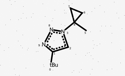 CC(C)(C)c1cn(C2(C)CC2)nn1